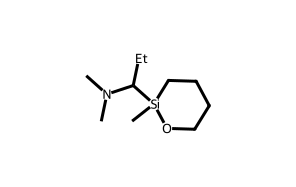 CCC(N(C)C)[Si]1(C)CCCCO1